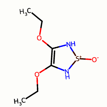 CCOC1=C(OCC)N[S+]([O-])N1